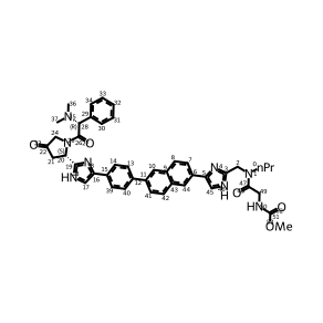 CCCN(Cc1nc(-c2ccc3cc(-c4ccc(-c5c[nH]c([C@@H]6CC(=O)CN6C(=O)[C@@H](c6ccccc6)N(C)C)n5)cc4)ccc3c2)c[nH]1)C(=O)CNC(=O)OC